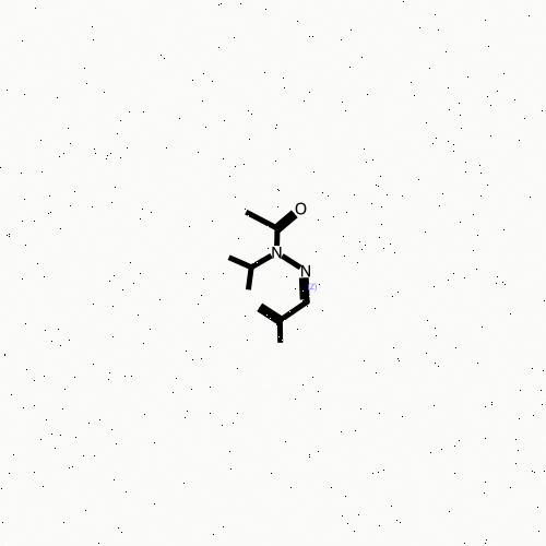 C=C(C)/C=N\N(C(C)=O)C(C)C